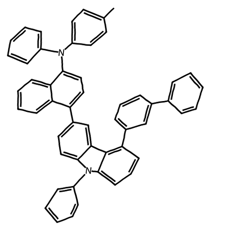 Cc1ccc(N(c2ccccc2)c2ccc(-c3ccc4c(c3)c3c(-c5cccc(-c6ccccc6)c5)cccc3n4-c3ccccc3)c3ccccc23)cc1